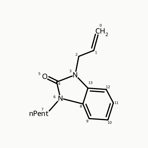 C=CCn1c(=O)n(CCCCC)c2ccccc21